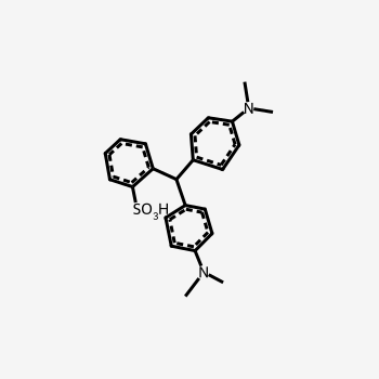 CN(C)c1ccc(C(c2ccc(N(C)C)cc2)c2ccccc2S(=O)(=O)O)cc1